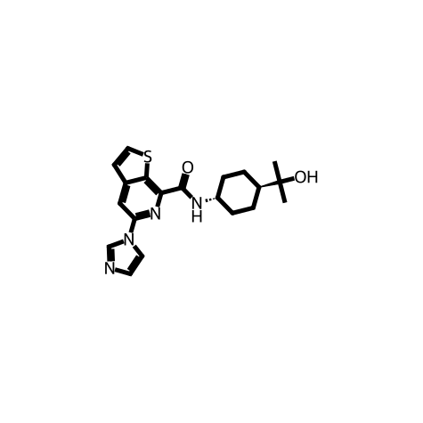 CC(C)(O)[C@H]1CC[C@H](NC(=O)c2nc(-n3ccnc3)cc3ccsc23)CC1